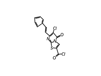 O=C(Cl)c1cn2c(=O)c(Cl)c(/C=C/c3ccccc3)nc2s1